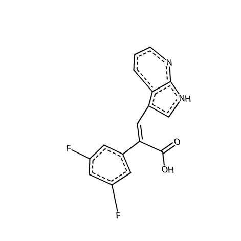 O=C(O)C(=Cc1c[nH]c2ncccc12)c1cc(F)cc(F)c1